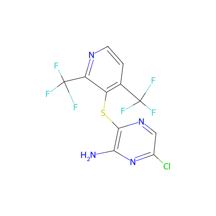 Nc1nc(Cl)cnc1Sc1c(C(F)(F)F)ccnc1C(F)(F)F